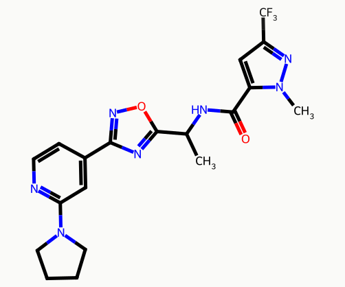 CC(NC(=O)c1cc(C(F)(F)F)nn1C)c1nc(-c2ccnc(N3CCCC3)c2)no1